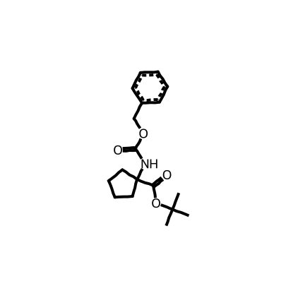 CC(C)(C)OC(=O)C1(NC(=O)OCc2ccccc2)CCCC1